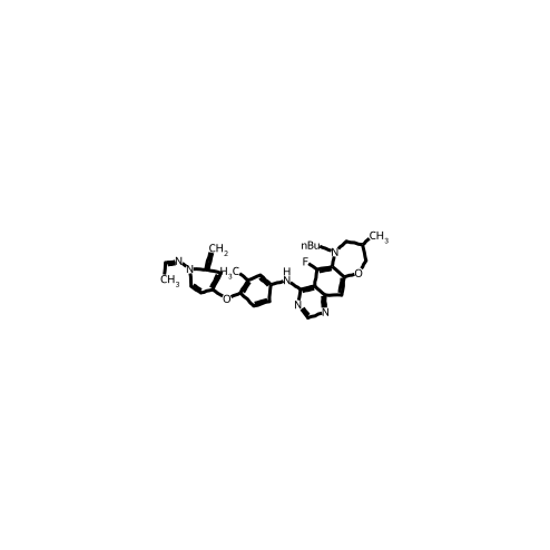 C=C1C=C(Oc2ccc(Nc3ncnc4cc5c(c(F)c34)N(CCCC)CC(C)CO5)cc2C)C=CN1/N=C\C